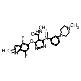 CNC(=O)c1c(Nc2cccc(N3CCN(C)CC3)c2)ncnc1Oc1cc(F)c2[nH]c(C)cc2c1F